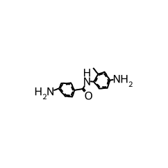 Cc1cc(N)ccc1NC(=O)c1ccc(N)cc1